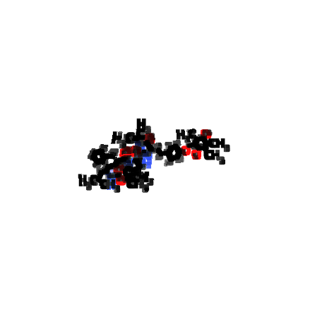 CC1=C(C)C(=O)C(COc2ccc(CC[C@H](NC(=O)[C@@H]3CCCN3C(=O)[C@H](/C=C/[C@H](CC(C)C)NC(=O)OC(C)(C)C)Cc3ccccc3)C(=O)NC(C)C)cc2)=C(C)C1=O